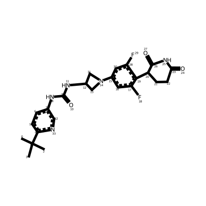 CC(C)(C)c1ccc(NC(=O)NC2CN(c3cc(F)c(C4CCC(=O)NC4=O)c(F)c3)C2)cn1